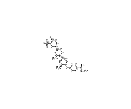 COC(=O)c1ccc(Cc2cnc(N3CCN(c4ccc(F)c(S(C)(=O)=O)c4)CC3C(C)C)nc2C(F)(F)F)cc1